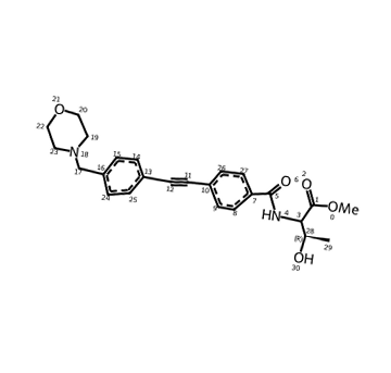 COC(=O)C(NC(=O)c1ccc(C#Cc2ccc(CN3CCOCC3)cc2)cc1)[C@@H](C)O